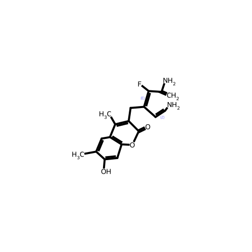 C=C(N)/C(F)=C(\C=C/N)Cc1c(C)c2cc(C)c(O)cc2oc1=O